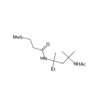 CCC(C)(CC(C)(C)NC(C)=O)NC(=O)CCSC